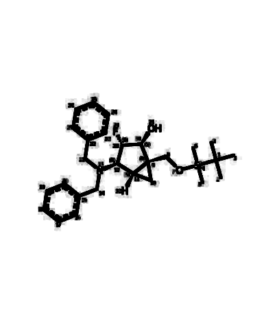 CC(C)(C)[Si](C)(C)OC[C@@]12C[C@@H]1[C@@H](N(Cc1ccccc1)Cc1ccccc1)[C@H](F)[C@H]2O